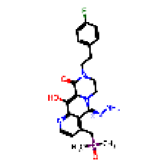 CP(C)(=O)Cc1ccnc2c(O)c3n(/c(=N\N)c12)CCN(CCc1ccc(F)cc1)C3=O